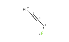 CCC#CCF